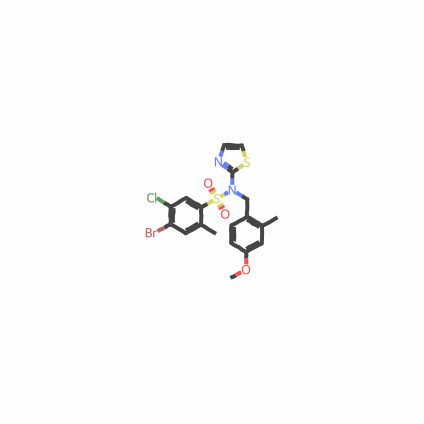 COc1ccc(CN(c2nccs2)S(=O)(=O)c2cc(Cl)c(Br)cc2C)c(C)c1